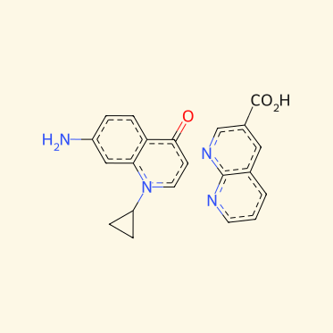 Nc1ccc2c(=O)ccn(C3CC3)c2c1.O=C(O)c1cnc2ncccc2c1